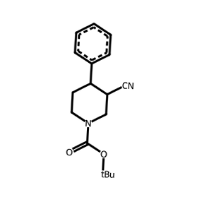 CC(C)(C)OC(=O)N1CCC(c2ccccc2)C(C#N)C1